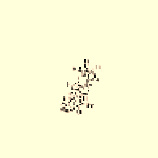 CC(C)C1=C2[C@H]3CC[C@@H]4[C@@]5(C)CC[C@H](C)C(C)(C)[C@@H]5CC[C@@]4(C)[C@]3(C)CC[C@@]2(NC(=O)OC(C)(C)C)CC1=O